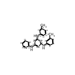 Cc1cccc(Nc2nc(Nc3cccc(C)c3)nc(Nc3ccccn3)n2)c1